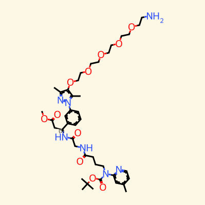 COC(=O)C[C@H](NC(=O)CNC(=O)CCCN(C(=O)OC(C)(C)C)c1cc(C)ccn1)c1cccc(-n2nc(C)c(OCCOCCOCCOCCOCCN)c2C)c1